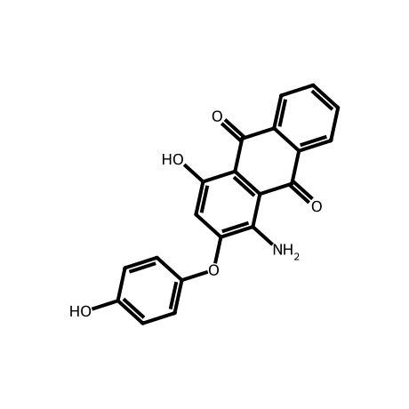 Nc1c(Oc2ccc(O)cc2)cc(O)c2c1C(=O)c1ccccc1C2=O